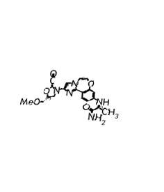 COC[C@H]1CN(c2cn3c(n2)-c2ccc(N[C@@H](C)C(N)=O)cc2OCC3)C(=C=O)O1